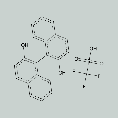 O=S(=O)(O)C(F)(F)F.Oc1ccc2ccccc2c1-c1c(O)ccc2ccccc12